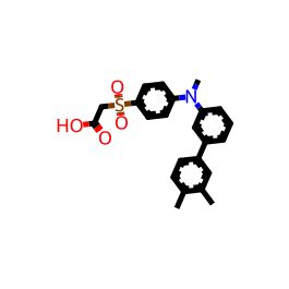 Cc1ccc(-c2cccc(N(C)c3ccc(S(=O)(=O)CC(=O)O)cc3)c2)cc1C